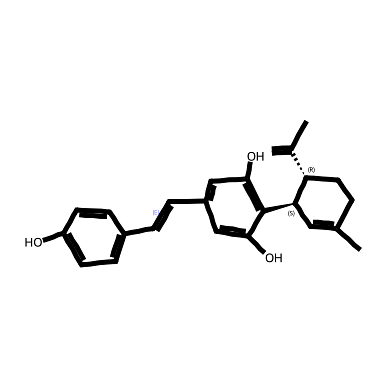 C=C(C)[C@@H]1CCC(C)=C[C@H]1c1c(O)cc(/C=C/c2ccc(O)cc2)cc1O